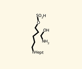 CCCCCCCCCCCCOS(=O)(=O)O.NCO